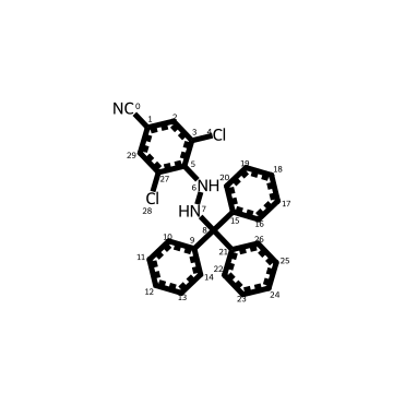 N#Cc1cc(Cl)c(NNC(c2ccccc2)(c2ccccc2)c2ccccc2)c(Cl)c1